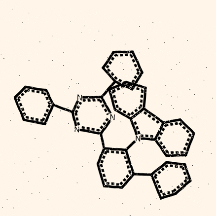 c1ccc(-c2nc(-c3ccccc3)nc(-c3cccc(-c4ccccc4)c3-n3c4ccccc4c4ccccc43)n2)cc1